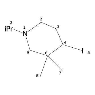 CC(C)N1CCC(I)C(C)(C)C1